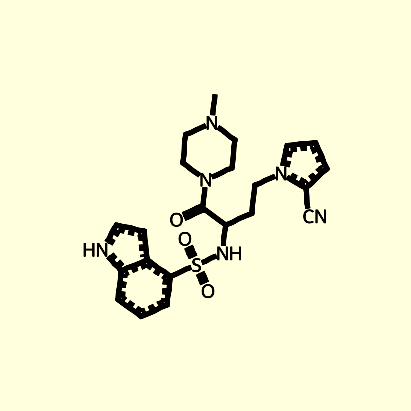 CN1CCN(C(=O)C(CCn2cccc2C#N)NS(=O)(=O)c2cccc3[nH]ccc23)CC1